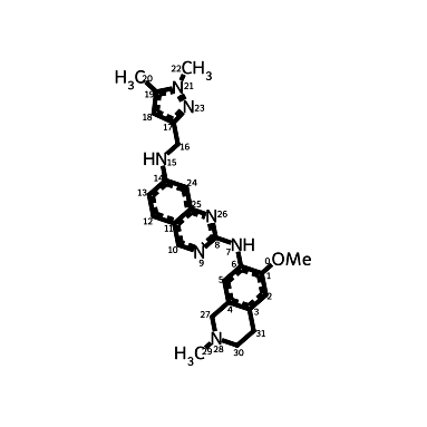 COc1cc2c(cc1Nc1ncc3ccc(NCc4cc(C)n(C)n4)cc3n1)CN(C)CC2